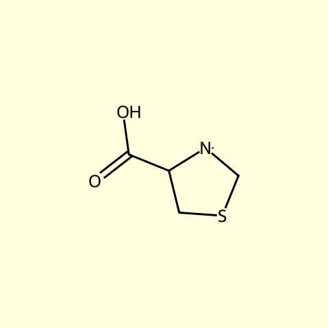 O=C(O)C1CSC[N]1